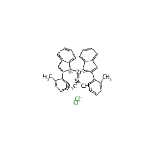 Cc1ccccc1C1=Cc2ccccc2[CH]1[Zr+2]([C@H]1C(c2ccccc2C)=Cc2ccccc21)=[Si](C)C.[Cl-].[Cl-]